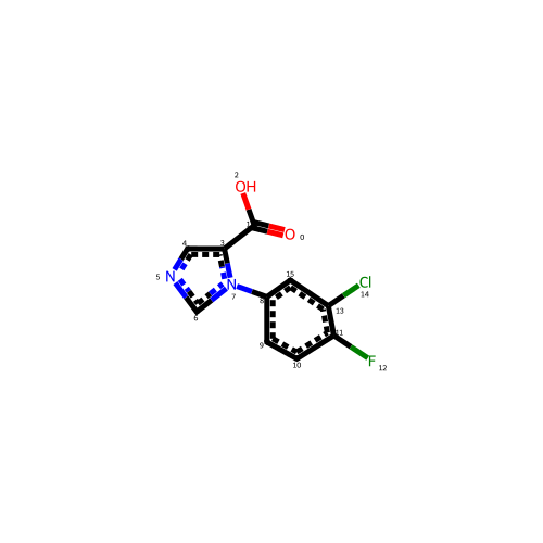 O=C(O)c1cncn1-c1ccc(F)c(Cl)c1